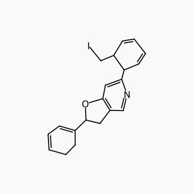 ICC1C=CC=CC1c1cc2c(cn1)CC(C1=CC=CCC1)O2